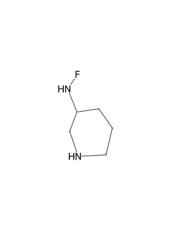 FNC1CCCNC1